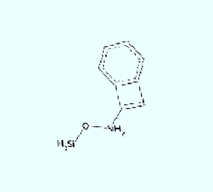 [SiH3]O[SiH2]C1=Cc2ccccc21